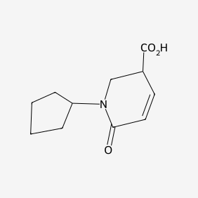 O=C(O)C1C=CC(=O)N(C2CCCC2)C1